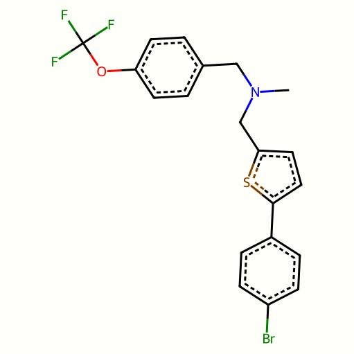 CN(Cc1ccc(OC(F)(F)F)cc1)Cc1ccc(-c2ccc(Br)cc2)s1